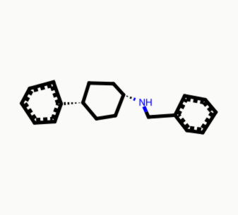 c1ccc(CN[C@H]2CC[C@@H](c3ccccc3)CC2)cc1